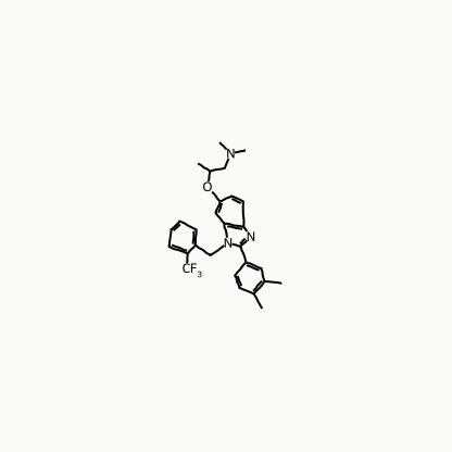 Cc1ccc(-c2nc3ccc(OC(C)CN(C)C)cc3n2Cc2ccccc2C(F)(F)F)cc1C